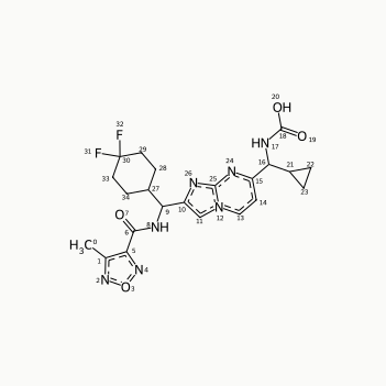 Cc1nonc1C(=O)NC(c1cn2ccc(C(NC(=O)O)C3CC3)nc2n1)C1CCC(F)(F)CC1